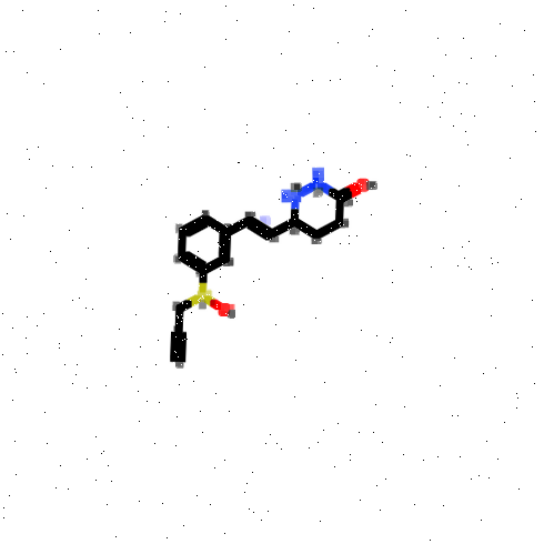 C#CC[S+]([O-])c1cccc(/C=C/C2CCC(=O)NN2)c1